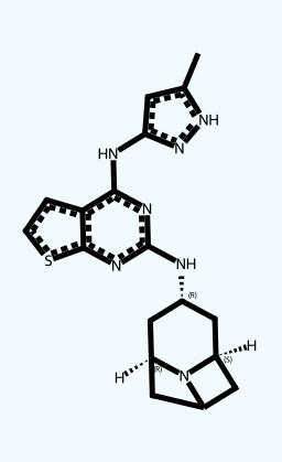 Cc1cc(Nc2nc(N[C@@H]3C[C@H]4CC5C[C@@H](C3)N54)nc3sccc23)n[nH]1